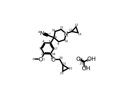 COc1ccc(C2(C#N)CCN(C3CC3)CC2)cc1OCC1CC1.O=C(O)O